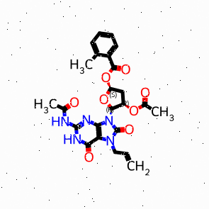 C=CCn1c(=O)n([C@@H]2O[C@@H](OC(=O)c3ccccc3C)C[C@H]2OC(C)=O)c2nc(NC(C)=O)[nH]c(=O)c21